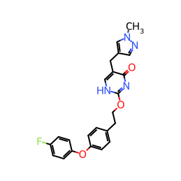 Cn1cc(Cc2c[nH]c(OCCc3ccc(Oc4ccc(F)cc4)cc3)nc2=O)cn1